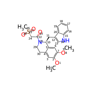 COc1cc2c(cc1OC)[C@H](Cc1c[nH]c3ccccc13)N(C(=O)CS(C)(=O)=O)CC2